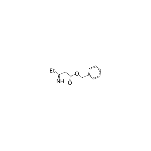 CCC(=N)CC(=O)OCc1ccccc1